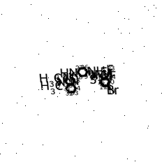 CN(C)c1nc(NC2CCC(NC(=S)Nc3ccc(Br)cc3C(F)(F)F)CC2)nc2c1CCCC2